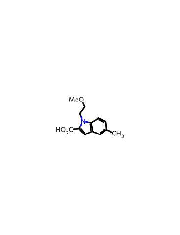 COCCn1c(C(=O)O)cc2cc(C)ccc21